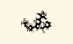 Cc1noc(C)c1-c1cnc2c(-c3cnn(CC(F)(F)F)c3)cn([C@H](C)c3ccccn3)c2c1